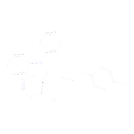 COC1=CC=NCC1(CN(c1ccccc1)c1ccccc1)OCCOc1ccc(Cl)cc1